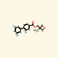 CC1(COC(=O)c2ccc(-c3cc(F)cc(F)c3)c(F)c2)COC1